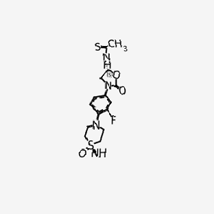 CC(=S)NC[C@H]1CN(c2ccc(N3CCS(=N)(=O)CC3)c(F)c2)C(=O)O1